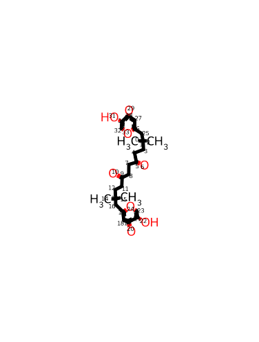 CC(C)(CCC(=O)CCC(=O)CCC(C)(C)Cc1cc(=O)c(O)co1)Cc1cc(=O)c(O)co1